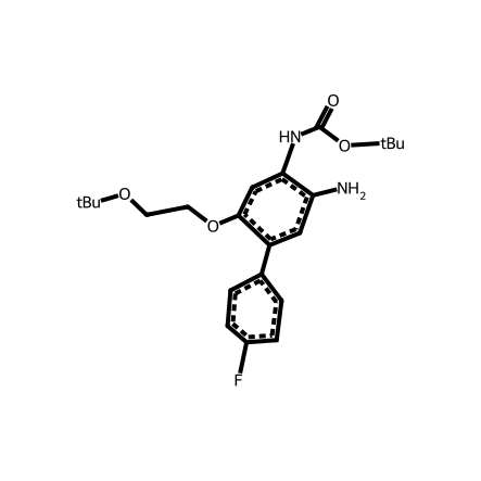 CC(C)(C)OCCOc1cc(NC(=O)OC(C)(C)C)c(N)cc1-c1ccc(F)cc1